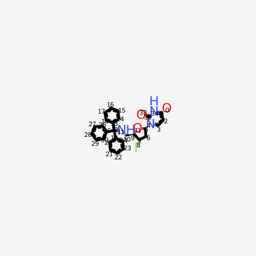 O=c1ccn([C@H]2C[C@@H](F)[C@@H](CNC(c3ccccc3)(c3ccccc3)c3ccccc3)O2)c(=O)[nH]1